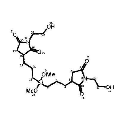 CO[Si](CCCC1CC(=O)N(CCO)C1=O)(CCCC1CC(=O)N(CCO)C1=O)OC